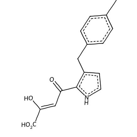 Cc1ccc(Cc2cc[nH]c2C(=O)/C=C(\O)C(=O)O)cc1